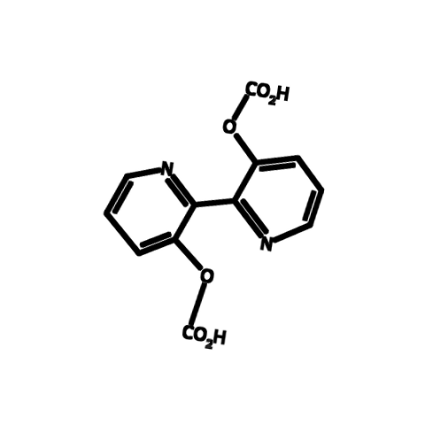 O=C(O)Oc1cccnc1-c1ncccc1OC(=O)O